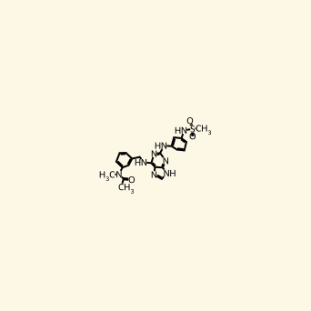 CC(=O)N(C)c1cccc(CNc2nc(Nc3cccc(NS(C)(=O)=O)c3)nc3[nH]cnc23)c1